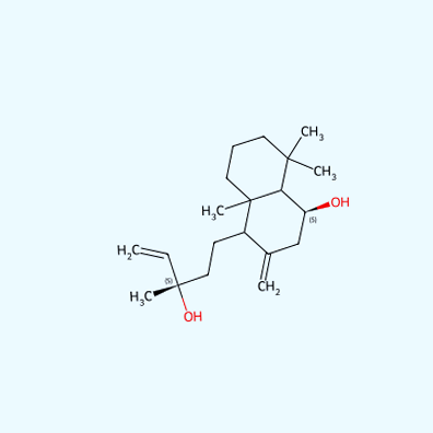 C=C[C@@](C)(O)CCC1C(=C)C[C@H](O)C2C(C)(C)CCCC12C